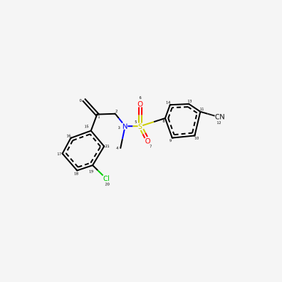 C=C(CN(C)S(=O)(=O)c1ccc(C#N)cc1)c1cccc(Cl)c1